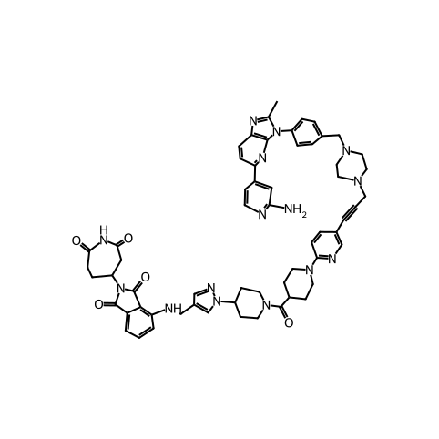 Cc1nc2ccc(-c3ccnc(N)c3)nc2n1-c1ccc(CN2CCN(CC#Cc3ccc(N4CCC(C(=O)N5CCC(n6cc(CNc7cccc8c7C(=O)N(C7CCC(=O)NC(=O)C7)C8=O)cn6)CC5)CC4)nc3)CC2)cc1